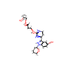 C[C@@H](O)COCCCOc1nccc(-c2nn(C3CCCCO3)c3ccc(O)cc23)n1